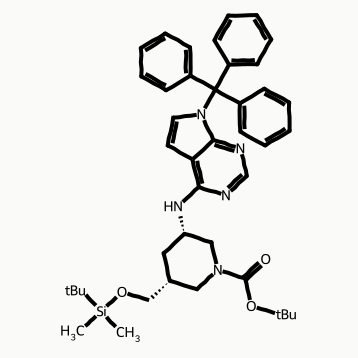 CC(C)(C)OC(=O)N1C[C@H](CO[Si](C)(C)C(C)(C)C)C[C@H](Nc2ncnc3c2ccn3C(c2ccccc2)(c2ccccc2)c2ccccc2)C1